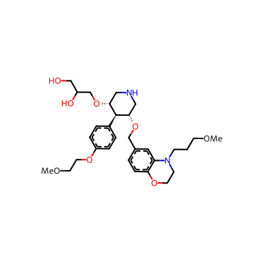 COCCCN1CCOc2ccc(CO[C@H]3CNC[C@@H](OCC(O)CO)[C@@H]3c3ccc(OCCOC)cc3)cc21